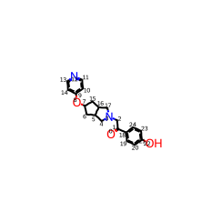 O=C(CN1CC2CC(Oc3ccncc3)CC2C1)c1ccc(O)cc1